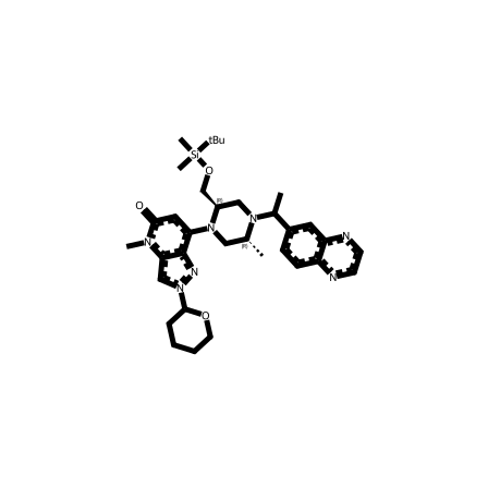 CC(c1ccc2nccnc2c1)N1C[C@H](CO[Si](C)(C)C(C)(C)C)N(c2cc(=O)n(C)c3cn(C4CCCCO4)nc23)C[C@H]1C